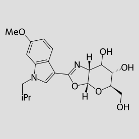 COc1ccc2c(C3=N[C@@H]4C(O)[C@H](O)[C@@H](CO)O[C@@H]4O3)cn(CC(C)C)c2c1